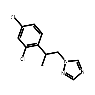 [CH2]C(Cn1cncn1)c1ccc(Cl)cc1Cl